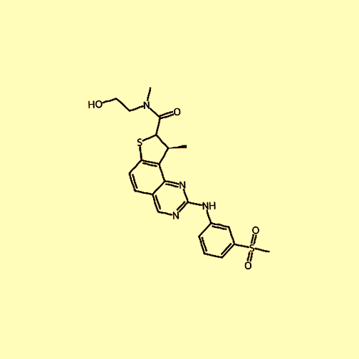 C[C@H]1c2c(ccc3cnc(Nc4cccc(S(C)(=O)=O)c4)nc23)SC1C(=O)N(C)CCO